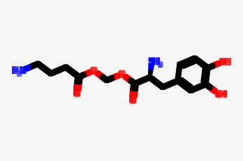 NCCCC(=O)OCOC(=O)[C@@H](N)Cc1ccc(O)c(O)c1